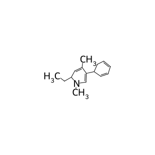 CCC1C=C(C)C(C2C=CC=CC2)=CN1C